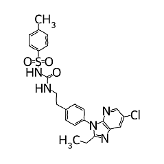 CCc1nc2cc(Cl)cnc2n1-c1ccc(CCNC(=O)NS(=O)(=O)c2ccc(C)cc2)cc1